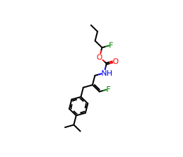 CCCC(F)OC(=O)NCC(=CF)Cc1ccc(C(C)C)cc1